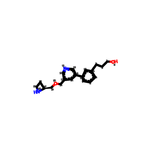 OCCCc1cccc(-c2cncc(COC[C@@H]3CCN3)c2)c1